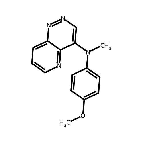 COc1ccc(N(C)c2cnnc3cccnc23)cc1